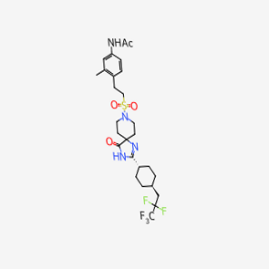 CC(=O)Nc1ccc(CCS(=O)(=O)N2CCC3(CC2)N=C([C@H]2CC[C@H](CC(F)(F)C(F)(F)F)CC2)NC3=O)c(C)c1